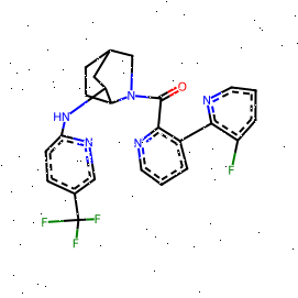 O=C(c1ncccc1-c1ncccc1F)N1CC2CCC1C(Nc1ccc(C(F)(F)F)cn1)C2